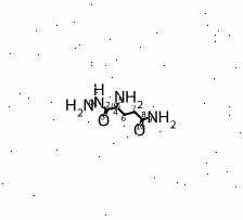 NNC(=O)[C@@H](N)CCC(N)=O